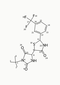 CC(C)(C)N1C(=O)NC(C2SC(c3cccc(C(F)(F)F)c3)NC2=O)C1=O